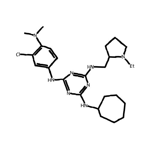 CCN1CCCC1CNc1nc(Nc2ccc(N(C)C)c(Cl)c2)nc(NC2CCCCCC2)n1